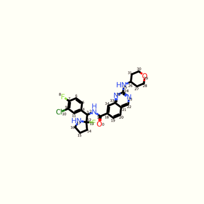 O=C(NC(c1ccc(F)c(Cl)c1)C1(F)CCCN1)c1ccc2cnc(NC3CCOCC3)nc2c1